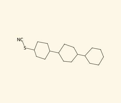 N#CSC1CCC(C2CCC(C3CCCCC3)CC2)CC1